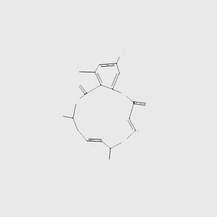 CC1C/C=C/C(O)C/C=C/C(=O)Cc2cc(O)cc(O)c2C(=O)O1